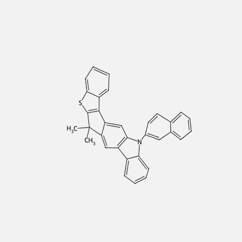 CC1(C)c2cc3c4ccccc4n(-c4ccc5ccccc5c4)c3cc2-c2c1sc1ccccc21